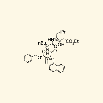 CCCC[C@H](NC(=O)[C@H](Cc1cccc2ccccc12)NC(=O)OCc1ccccc1)C(=O)N[C@@H](CC(C)C)[C@@H](O)CC(=O)OCC